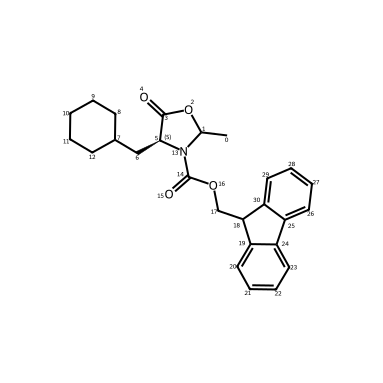 CC1OC(=O)[C@H](CC2CCCCC2)N1C(=O)OCC1c2ccccc2-c2ccccc21